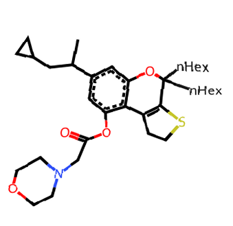 CCCCCCC1(CCCCCC)Oc2cc(C(C)CC3CC3)cc(OC(=O)CN3CCOCC3)c2C2=C1SCC2